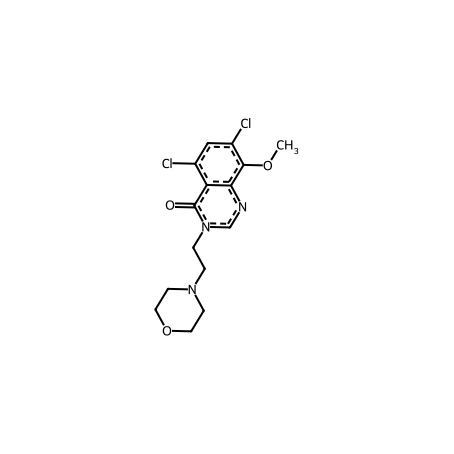 COc1c(Cl)cc(Cl)c2c(=O)n(CCN3CCOCC3)cnc12